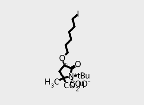 CC(C)(C)[N+]1(C(=O)[O-])C(=O)[C@H](OCCCCCCI)CC1(C)C(=O)O